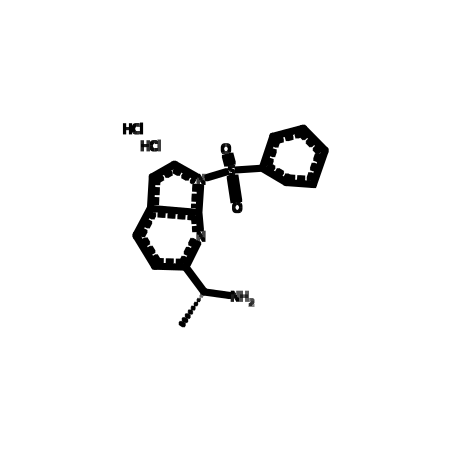 C[C@@H](N)c1ccc2ccn(S(=O)(=O)c3ccccc3)c2n1.Cl.Cl